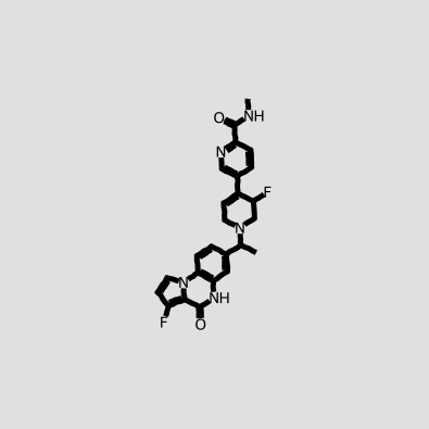 CNC(=O)c1ccc(C2=CCN(C(C)c3ccc4c(c3)[nH]c(=O)c3c(F)ccn34)CC2F)cn1